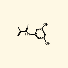 C=C(C)C(=O)Nc1cc(O)cc(O)c1